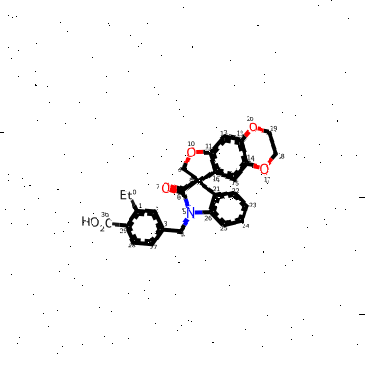 CCc1cc(CN2C(=O)C3(COc4cc5c(cc43)OCCO5)c3ccccc32)ccc1C(=O)O